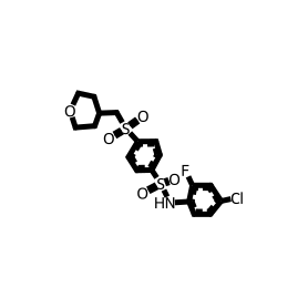 O=S(=O)(CC1CCOCC1)c1ccc(S(=O)(=O)Nc2ccc(Cl)cc2F)cc1